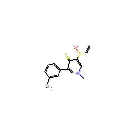 C=C[S+]([O-])c1cn(C)cc(-c2cccc(C(F)(F)F)c2)c1=S